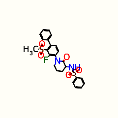 CS(=O)(=O)c1c(-c2ccccc2)ccc(N2CCCC(NS(=O)(=O)c3ccccc3)C2=O)c1F